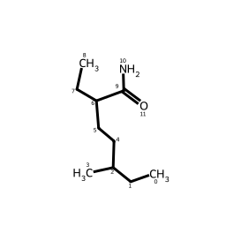 CCC(C)CCC(CC)C(N)=O